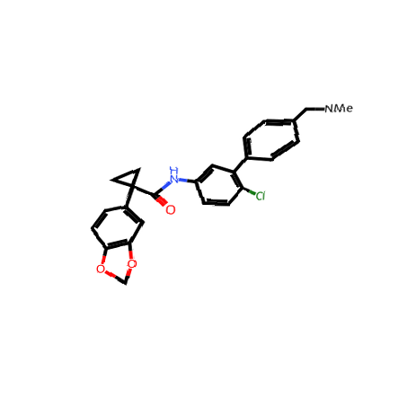 CNCc1ccc(-c2cc(NC(=O)C3(c4ccc5c(c4)OCO5)CC3)ccc2Cl)cc1